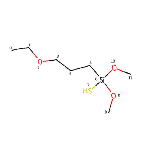 CCOCCC[Si](S)(OC)OC